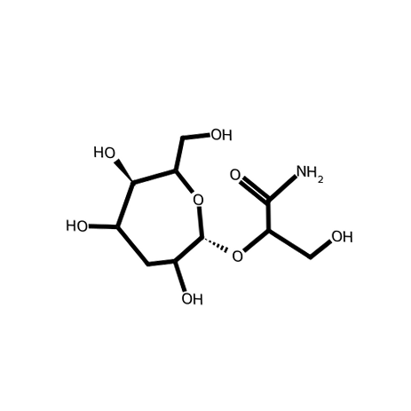 NC(=O)C(CO)O[C@H]1OC(CO)[C@H](O)C(O)CC1O